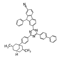 C[C@@H]1C[C@@H]2C[C@H](C)CC(c3ccc(-c4nc(-c5ccc(-c6ccccc6)cc5)nc(-c5ccc6c(c5)C(c5ccccc5)c5cc(C#N)ccc5-6)n4)cc3)(C1)C2